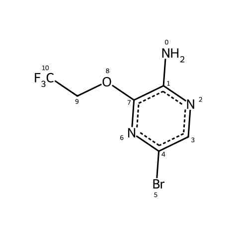 Nc1ncc(Br)nc1OCC(F)(F)F